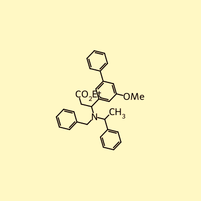 CCOC(=O)CC(c1cc(OC)cc(-c2ccccc2)c1)N(Cc1ccccc1)C(C)c1ccccc1